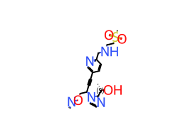 C=NOCC(C#Cc1ccc(CNCCS(C)(=O)=O)nc1)n1ccnc1[C@H](C)O